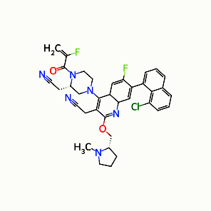 C=C(F)C(=O)N1CCN(C2=C(CC#N)C(OC[C@@H]3CCCN3C)=NC3C=C(c4cccc5cccc(Cl)c45)C(F)=CC23)C[C@@H]1CC#N